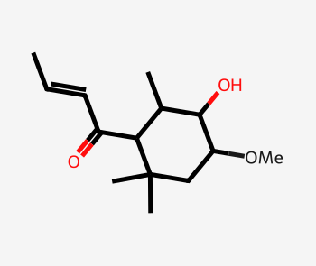 CC=CC(=O)C1C(C)C(O)C(OC)CC1(C)C